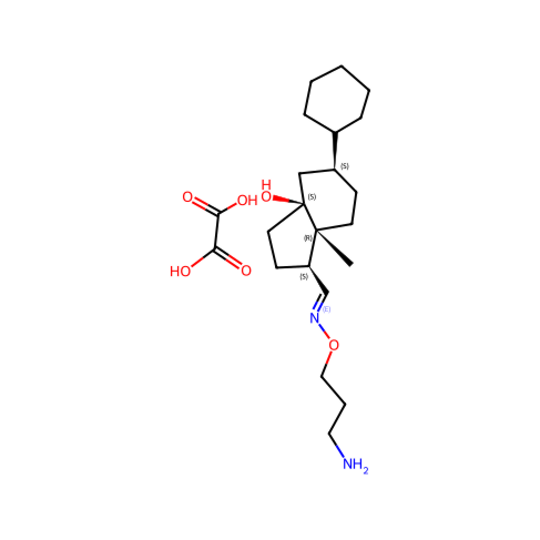 C[C@]12CC[C@H](C3CCCCC3)C[C@@]1(O)CC[C@@H]2/C=N/OCCCN.O=C(O)C(=O)O